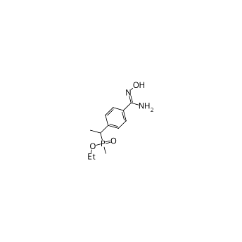 CCOP(C)(=O)C(C)c1ccc(C(N)=NO)cc1